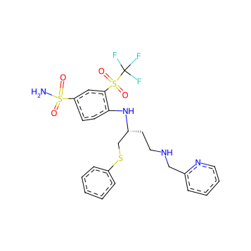 NS(=O)(=O)c1ccc(N[C@H](CCNCc2ccccn2)CSc2ccccc2)c(S(=O)(=O)C(F)(F)F)c1